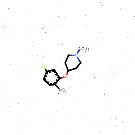 O=C(O)N1CCC(Oc2cc(F)ccc2[N+](=O)[O-])CC1